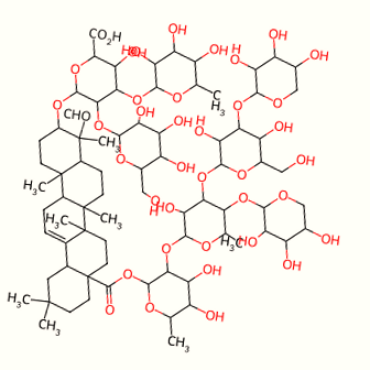 CC1OC(OC2C(O)C(C(=O)O)OC(OC3CCC4(C)C(CCC5(C)C4CC=C4C6CC(C)(C)CCC6(C(=O)OC6OC(C)C(O)C(O)C6OC6OC(C)C(OC7OCC(O)C(O)C7O)C(OC7OC(CO)C(O)C(OC8OCC(O)C(O)C8O)C7O)C6O)CCC45C)C3(C)C=O)C2OC2OC(CO)C(O)C(O)C2O)C(O)C(O)C1O